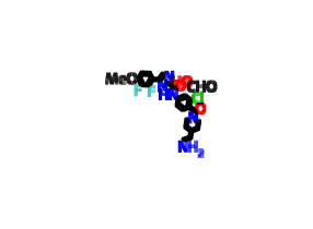 COc1ccc(-c2cnc(C(=O)Nc3ccc(C(=O)N4CCC(CCN)CC4)c(Cl)c3)n2C)c(F)c1F.O=CO